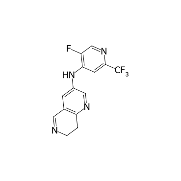 Fc1cnc(C(F)(F)F)cc1Nc1cnc2c(c1)C=NCC2